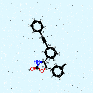 Cc1cccc([C@H]2OC(=O)N[C@H]2c2cccc(C#Cc3ccccc3)c2)c1